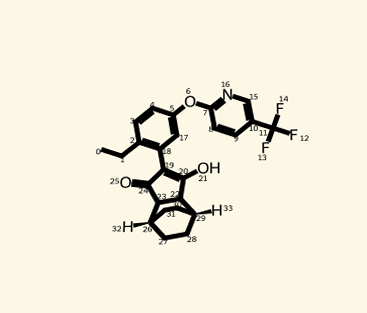 CCc1ccc(Oc2ccc(C(F)(F)F)cn2)cc1C1=C(O)C2C(C1=O)[C@H]1CC[C@@H]2CC1